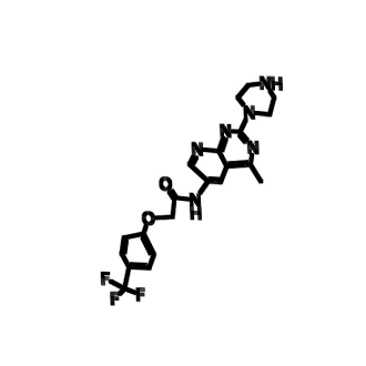 Cc1nc(N2CCNCC2)nc2ncc(NC(=O)COc3ccc(C(F)(F)F)cc3)cc12